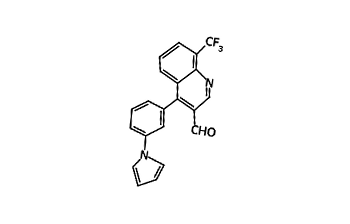 O=Cc1cnc2c(C(F)(F)F)cccc2c1-c1cccc(-n2cccc2)c1